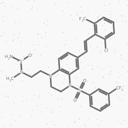 CN(CCN1CCN(S(=O)(=O)c2cccc(C(F)(F)F)c2)c2cc(/C=C/c3c(Cl)cccc3C(F)(F)F)ccc21)[S+](N)[O-]